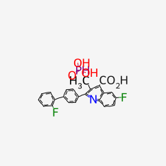 Cc1c(-c2ccc(-c3ccccc3F)cc2)nc2ccc(F)cc2c1C(=O)O.O=[PH](O)O